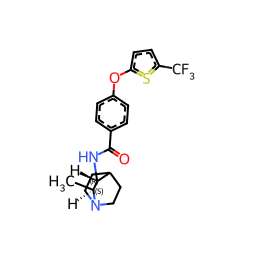 C[C@H]1[C@H](NC(=O)c2ccc(Oc3ccc(C(F)(F)F)s3)cc2)C2CCN1CC2